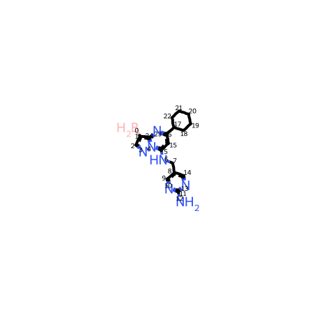 Bc1cnn2c(NCc3cnc(N)nc3)cc(C3CCCCC3)nc12